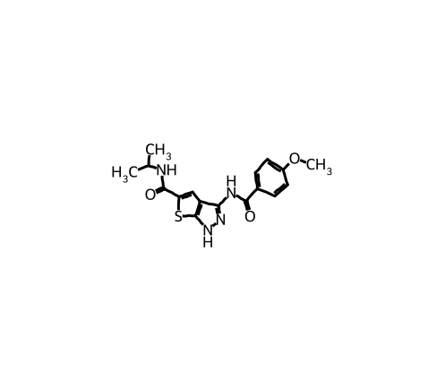 COc1ccc(C(=O)Nc2n[nH]c3sc(C(=O)NC(C)C)cc23)cc1